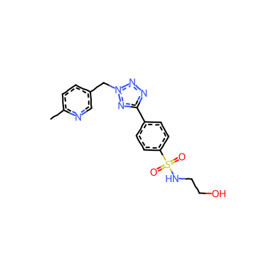 Cc1ccc(Cn2nnc(-c3ccc(S(=O)(=O)NCCO)cc3)n2)cn1